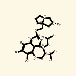 Fc1c(Br)c(Cl)c2c3c(nc(OC[C@@]45CCCN4C[C@H](F)C5)nc13)N(CC(F)F)[C@@H](C(F)F)CO2